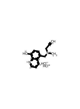 C#CCN(C)Cc1ccc(O)c2ncccc12.Cl.Cl